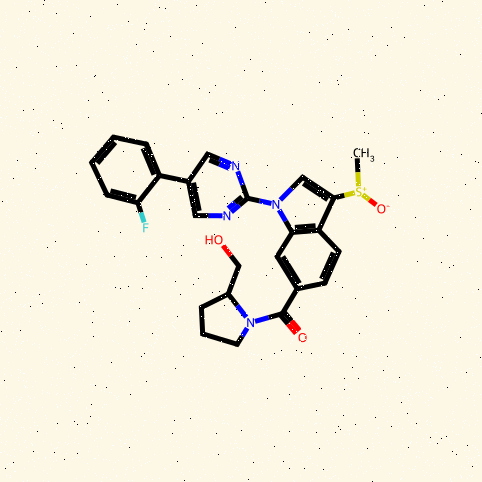 C[S+]([O-])c1cn(-c2ncc(-c3ccccc3F)cn2)c2cc(C(=O)N3CCCC3CO)ccc12